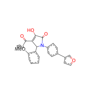 COc1ccccc1C1C(C(=O)C(C)(C)C)=C(O)C(=O)N1c1ccc(-c2ccoc2)cc1